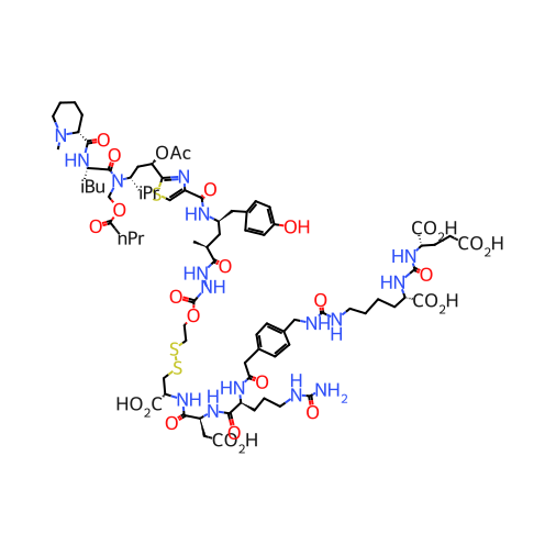 CCCC(=O)OCN(C(=O)[C@@H](NC(=O)[C@H]1CCCCN1C)C(C)CC)[C@H](C[C@@H](OC(C)=O)c1nc(C(=O)N[C@@H](Cc2ccc(O)cc2)C[C@H](C)C(=O)NNC(=O)OCCSSC[C@H](NC(=O)[C@H](CC(=O)O)NC(=O)[C@H](CCCNC(N)=O)NC(=O)Cc2ccc(CNC(=O)NCCCC[C@H](NC(=O)N[C@@H](CCC(=O)O)C(=O)O)C(=O)O)cc2)C(=O)O)cs1)C(C)C